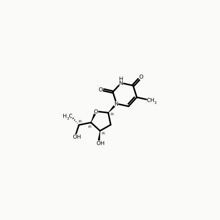 Cc1cn([C@H]2C[C@@H](O)[C@@H]([C@@H](C)O)O2)c(=O)[nH]c1=O